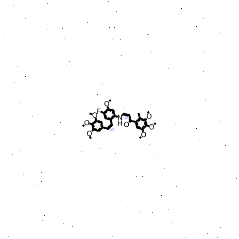 COc1cc(N/C=C\C(=O)c2cc(OC)c(OC)c(OC)c2C)c(/C=C\c2cc(OC)c(OC)c(OC)c2)cc1F